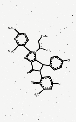 COC[C@@H](C)n1c(-c2cnc(OC)nc2OC)nc2c1C(c1ccc(Cl)cc1)N(c1cc(Cl)cn(C)c1=O)C2=O